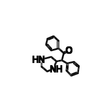 O=C(c1ccccc1)C(c1ccccc1)C1CNCCN1